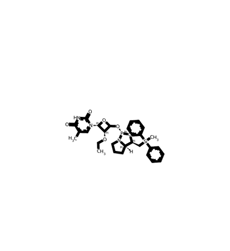 CCO[C@H]1C(O[P@]2O[C@@H](C[Si](C)(c3ccccc3)c3ccccc3)[C@H]3CCCN32)O[C@H]1n1cc(C)c(=O)[nH]c1=O